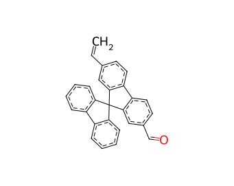 C=Cc1ccc2c(c1)C1(c3ccccc3-c3ccccc31)c1cc(C=O)ccc1-2